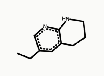 CCc1cnc2c(c1)CCCN2